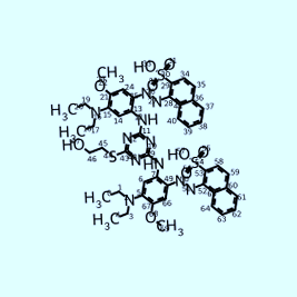 CCN(CC)c1cc(Nc2nc(Nc3cc(N(CC)CC)c(OC)cc3/N=N/c3c(S(=O)(=O)O)ccc4ccccc34)nc(SCCO)n2)c(/N=N/c2c(S(=O)(=O)O)ccc3ccccc23)cc1OC